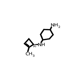 CC1=CC[C@H]1NC1CCC(N)CC1